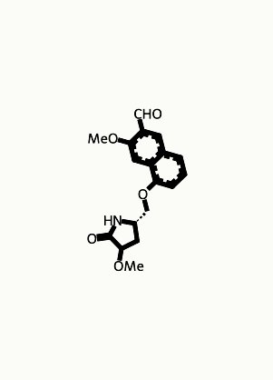 COc1cc2c(OC[C@@H]3CC(OC)C(=O)N3)cccc2cc1C=O